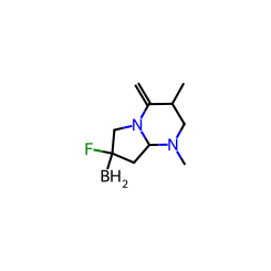 BC1(F)CC2N(C)CC(C)C(=C)N2C1